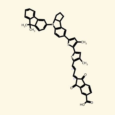 Cc1cc(-c2sc(-c3ccc4c(c3)C3CCCC3N4c3ccc4c(c3)-c3ccccc3C4(C)C)cc2C)sc1/C=C/C=C1\C(=O)c2ccc(C(=O)O)cc2C1=O